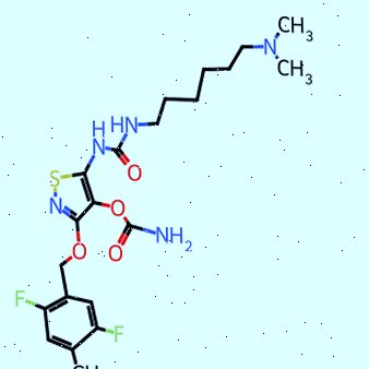 Cc1cc(F)c(COc2nsc(NC(=O)NCCCCCCN(C)C)c2OC(N)=O)cc1F